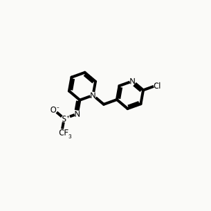 [O-][S+](N=c1ccccn1Cc1ccc(Cl)nc1)C(F)(F)F